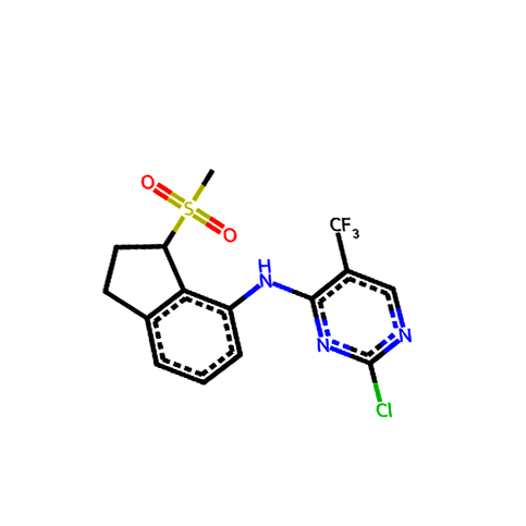 CS(=O)(=O)C1CCc2cccc(Nc3nc(Cl)ncc3C(F)(F)F)c21